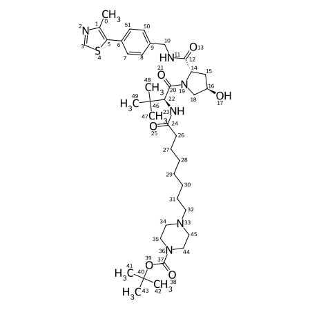 Cc1ncsc1-c1ccc(CNC(=O)[C@@H]2C[C@@H](O)CN2C(=O)[C@@H](NC(=O)CCCCCCCN2CCN(C(=O)OC(C)(C)C)CC2)C(C)(C)C)cc1